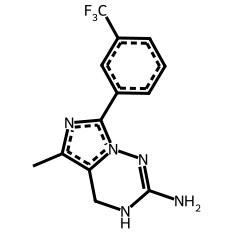 Cc1nc(-c2cccc(C(F)(F)F)c2)n2c1CNC(N)=N2